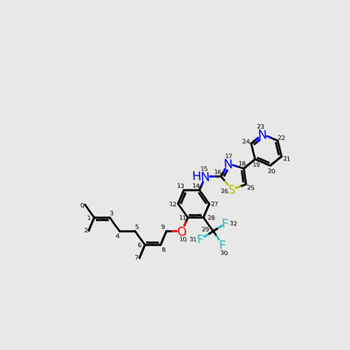 CC(C)=CCCC(C)=CCOc1ccc(Nc2nc(-c3cccnc3)cs2)cc1C(F)(F)F